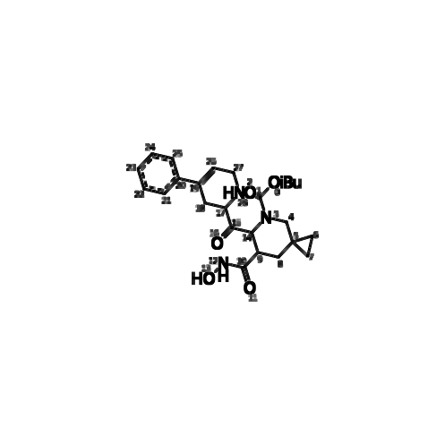 CC(C)COC(=O)N1CC2(CC2)CC(C(=O)NO)C1C(=O)C1CC(c2ccccc2)=CCN1